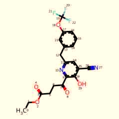 CCOC(=O)CCC(=O)c1nc(Cc2cccc(OC(F)(F)F)c2)cc(C#N)c1O